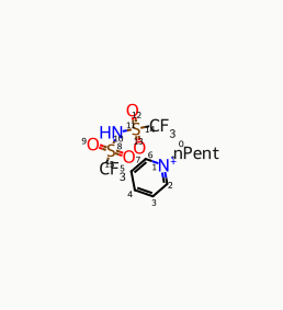 CCCCC[n+]1ccccc1.O=S(=O)(NS(=O)(=O)C(F)(F)F)C(F)(F)F